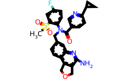 CS(=O)(=O)c1cc(F)ccc1N(Cc1ccc2c3c(c(N)nc2c1)COC3)C(=O)c1ccc(C2CC2)nc1